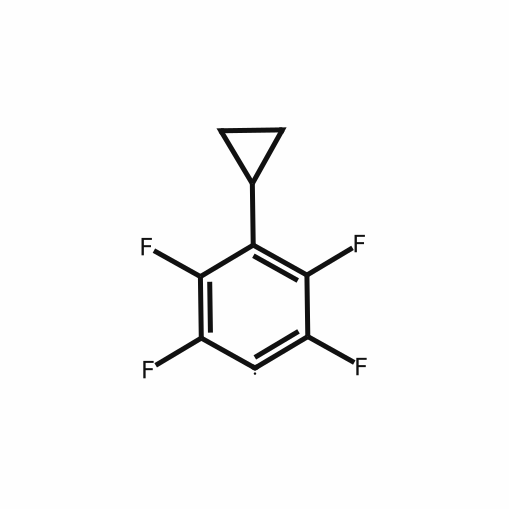 Fc1[c]c(F)c(F)c(C2CC2)c1F